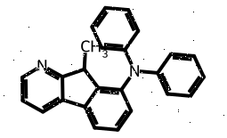 CC1c2ncccc2-c2cccc(N(c3ccccc3)c3ccccc3)c21